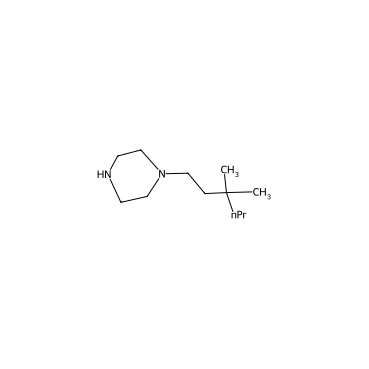 CCCC(C)(C)CCN1CCNCC1